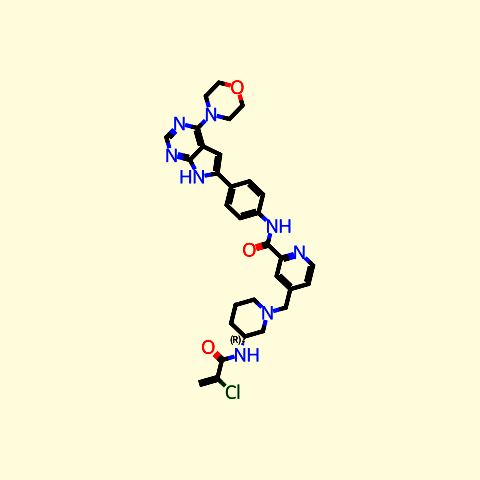 C=C(Cl)C(=O)N[C@@H]1CCCN(Cc2ccnc(C(=O)Nc3ccc(-c4cc5c(N6CCOCC6)ncnc5[nH]4)cc3)c2)C1